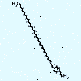 CCCCCCCCCCCCCCCCCCCCCCCCCCCCCCCCNCCN1CCN(CCN)CC1